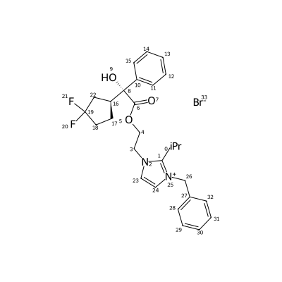 CC(C)c1n(CCOC(=O)[C@](O)(c2ccccc2)[C@H]2CCC(F)(F)C2)cc[n+]1Cc1ccccc1.[Br-]